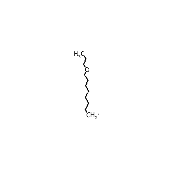 [CH2]CCCCCCCOCCC